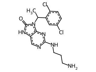 CC(c1cc(Cl)ccc1Cl)n1c(=O)[nH]c2cnc(NCCCN)nc21